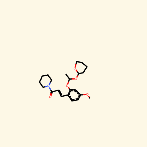 COc1ccc(/C=C/C(=O)N2CCCCC2)c(OC(C)OC2CCCCO2)c1